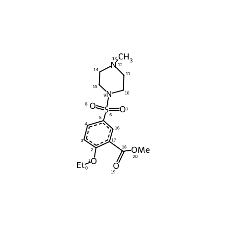 CCOc1ccc(S(=O)(=O)N2CCN(C)CC2)cc1C(=O)OC